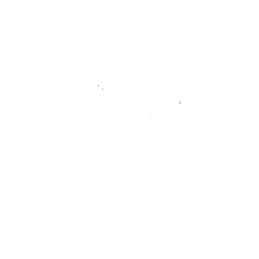 O=S(=O)(c1ccccc1)N(CC1CC1)c1ccccc1C(O)(C#Cc1ccccc1)C(F)(F)F